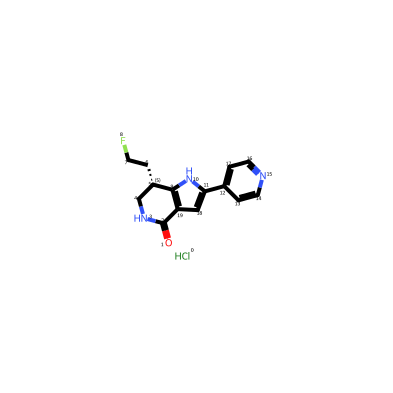 Cl.O=C1NC[C@H](CCF)c2[nH]c(-c3ccncc3)cc21